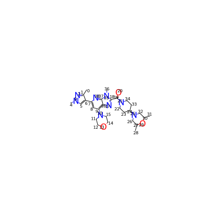 Cc1nn(C)cc1-c1cc(N2CCOCC2)c2nc(C(=O)N3CCC(N4CC(C)OC(C)C4)CC3)n(C)c2n1